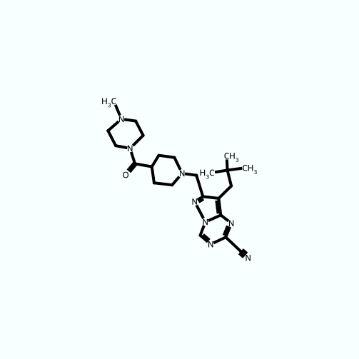 CN1CCN(C(=O)C2CCN(Cc3nn4cnc(C#N)nc4c3CC(C)(C)C)CC2)CC1